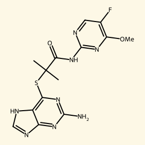 COc1nc(NC(=O)C(C)(C)Sc2nc(N)nc3nc[nH]c23)ncc1F